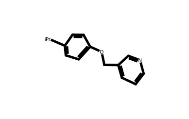 CC(C)c1ccc(OCc2cccnc2)cc1